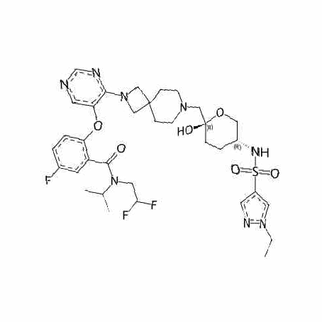 CCn1cc(S(=O)(=O)N[C@@H]2CC[C@](O)(CN3CCC4(CC3)CN(c3ncncc3Oc3ccc(F)cc3C(=O)N(CC(F)F)C(C)C)C4)OC2)cn1